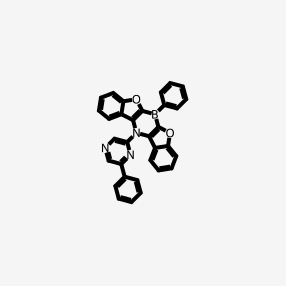 c1ccc(B2c3oc4ccccc4c3N(c3cncc(-c4ccccc4)n3)c3c2oc2ccccc32)cc1